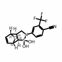 N#Cc1ccc(N2C[C@H]3[C@H]([C@@H]4C=C[C@H]3O4)S2(O)O)cc1C(F)(F)F